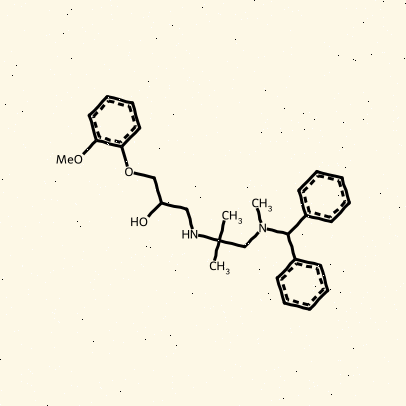 COc1ccccc1OCC(O)CNC(C)(C)CN(C)C(c1ccccc1)c1ccccc1